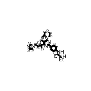 CCNC(=O)Nc1ccc(-c2nc(N3CCOCC3C)c3c(n2)C(C)(CCn2ccnc2)OC3)cc1